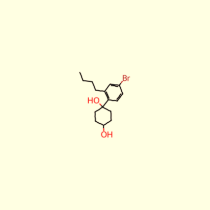 CCCCc1cc(Br)ccc1C1(O)CCC(O)CC1